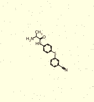 CC(N)C(=O)Nc1ccc(Sc2cccc(C#N)c2)cc1